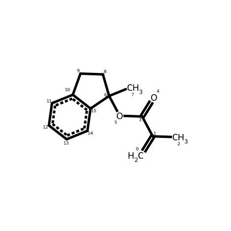 C=C(C)C(=O)OC1(C)CCc2ccccc21